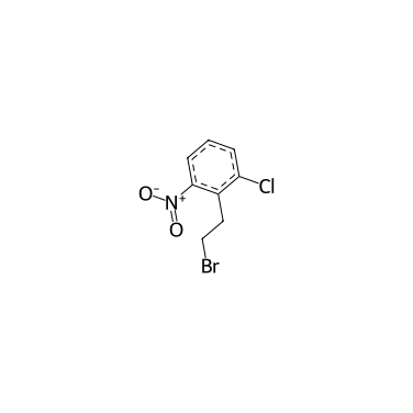 O=[N+]([O-])c1cccc(Cl)c1CCBr